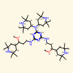 COC(CCNc1nc(NCCC(OC)C2CC(C)(C)NC(C)(C)C2)nc(N(C2CC(C)(C)NC(C)(C)C2)C2CC(C)(C)NC(C)(C)C2)n1)C1CC(C)(C)NC(C)(C)C1